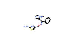 Cn1cncc1/C(=N\OCc1csc(N)n1)c1ccccc1